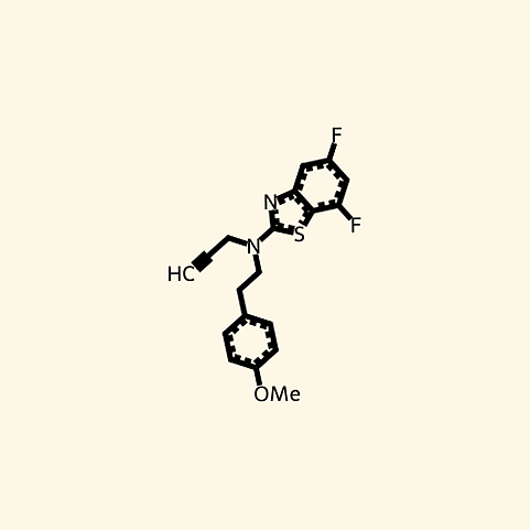 C#CCN(CCc1ccc(OC)cc1)c1nc2cc(F)cc(F)c2s1